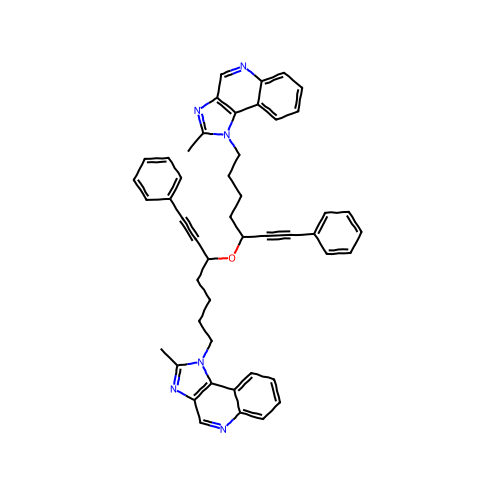 Cc1nc2cnc3ccccc3c2n1CCCCC(C#Cc1ccccc1)OC(C#Cc1ccccc1)CCCCn1c(C)nc2cnc3ccccc3c21